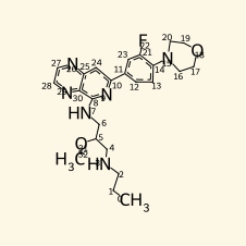 CCCNCC(CNc1nc(-c2ccc(N3CCOCC3)c(F)c2)cc2nccnc12)OC